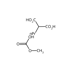 CCCC(C(=O)O)C(=O)O.COC(=O)O